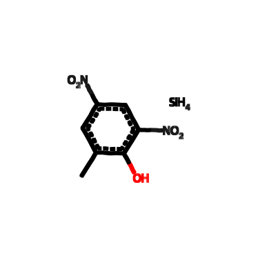 Cc1cc([N+](=O)[O-])cc([N+](=O)[O-])c1O.[SiH4]